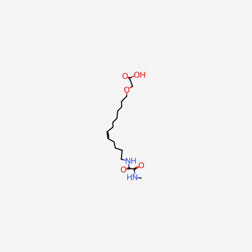 CNC(=O)C(=O)NCCCC/C=C\CCCCCCCOCC(=O)O